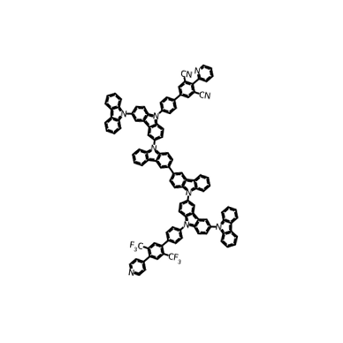 N#Cc1cc(-c2ccc(-n3c4ccc(-n5c6ccccc6c6ccccc65)cc4c4cc(-n5c6ccccc6c6cc(-c7ccc8c(c7)c7ccccc7n8-c7ccc8c(c7)c7cc(-n9c%10ccccc%10c%10ccccc%109)ccc7n8-c7ccc(-c8cc(C(F)(F)F)c(-c9ccncc9)cc8C(F)(F)F)cc7)ccc65)ccc43)cc2)cc(C#N)c1-c1ccccn1